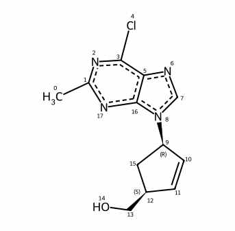 Cc1nc(Cl)c2ncn([C@H]3C=C[C@@H](CO)C3)c2n1